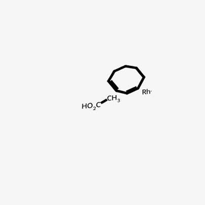 C1=CCCCCC=C1.CC(=O)O.[Rh]